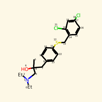 CCN(CC)CC(C)(O)Cc1ccc(SCc2ccc(Cl)cc2Cl)cc1